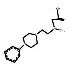 CN(CCN1CCN(c2ccccc2)CC1)CC(O)=S